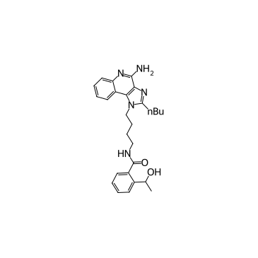 CCCCc1nc2c(N)nc3ccccc3c2n1CCCCNC(=O)c1ccccc1C(C)O